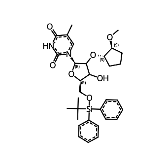 CO[C@H]1CCC[C@@H]1OC1C(O)[C@@H](CO[Si](c2ccccc2)(c2ccccc2)C(C)(C)C)O[C@H]1n1cc(C)c(=O)[nH]c1=O